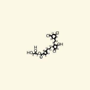 O=C(OC[C@@H](O)CO)c1ccc(CCC[C@@H]2[C@@H](CCc3cc(Cl)cc(Cl)c3)[C@H](O)C[C@H]2Cl)s1